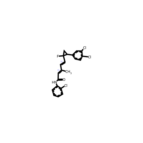 CC(/C=C/C1(F)CC1c1ccc(Cl)c(Cl)c1)=C\C(=O)Nc1ccccc1Cl